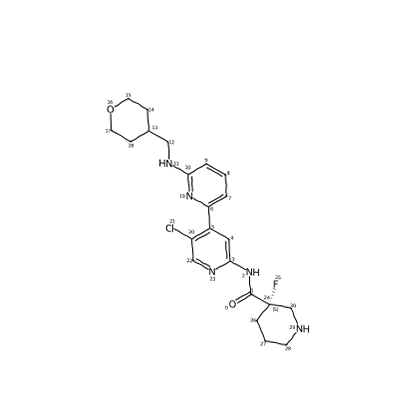 O=C(Nc1cc(-c2cccc(NCC3CCOCC3)n2)c(Cl)cn1)[C@]1(F)CCCNC1